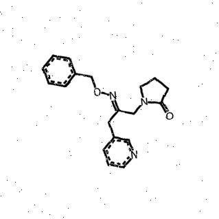 O=C1CCCN1C/C(Cc1cccnc1)=N/OCc1ccccc1